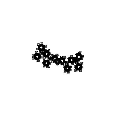 c1ccc(N(c2ccc3c4ccccc4n(-c4ccccc4)c3c2)c2ccc3c(n2)sc2nc(N(c4ccccc4)c4ccc5c6ccccc6n(-c6ccccc6)c5c4)cnc23)cc1